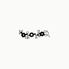 Cc1cc2nc(NCC3CCC(NC(=O)c4cc(C(F)(F)F)ccc4Cl)CC3)[nH]c2cc1C